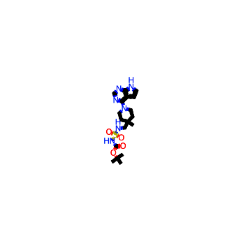 CC1(CNS(=O)(=O)NC(=O)OC(C)(C)C)CCN(c2ncnc3[nH]ccc23)CC1